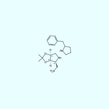 CC1(C)O[C@@H]2[C@H](CN)NC[C@@H]2O1.c1ccc(CC2CCCN2)cc1